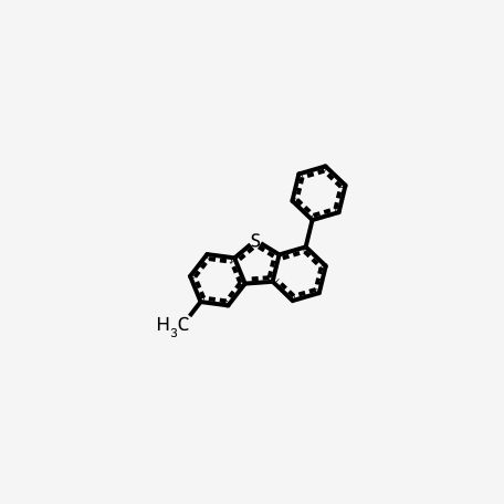 Cc1ccc2sc3c(-c4ccccc4)cccc3c2c1